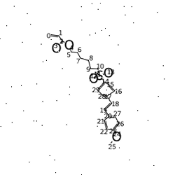 C=CC(=O)OCCCCCCS(=O)(=O)c1ccc(C=Cc2ccc(OC)cc2)cc1